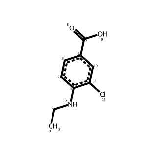 CCNc1ccc(C(=O)O)cc1Cl